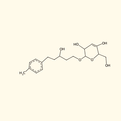 Cc1ccc(CCC(O)CCOC2OC(CO)C(O)=CC2O)cc1